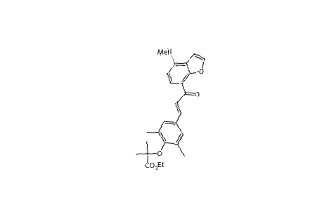 CCOC(=O)C(C)(C)Oc1c(C)cc(/C=C/C(=O)c2ccc(NC)c3ccoc23)cc1C